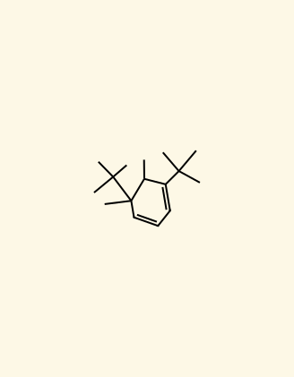 CC1C(C(C)(C)C)=CC=CC1(C)C(C)(C)C